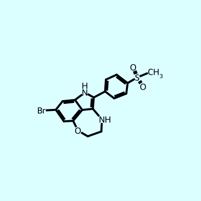 CS(=O)(=O)c1ccc(-c2[nH]c3cc(Br)cc4c3c2NCCO4)cc1